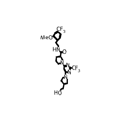 COc1cc(C(F)(F)F)ccc1CCNC(=O)C1CCCN(c2cc(N3CCC(CCO)CC3)nc(C(F)(F)F)n2)C1